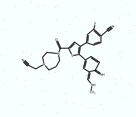 CN/C=C1/C=C(c2sc(C(=O)N3CCCN(CC#N)CC3)cc2-c2ccc(C#N)c(F)c2)C=CC1=N